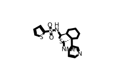 CNC(=S)[C@@]1(c2cccnc2)CCCC[C@@H]1C(C)NS(=O)(=O)c1cccs1